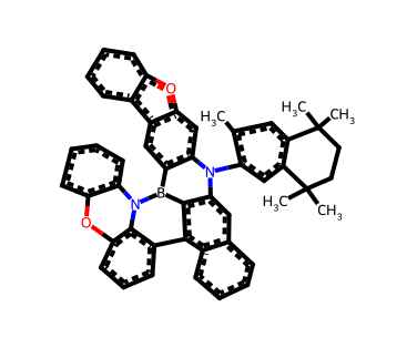 Cc1cc2c(cc1N1c3cc4oc5ccccc5c4cc3B3c4c1cc1ccccc1c4-c1cccc4c1N3c1ccccc1O4)C(C)(C)CCC2(C)C